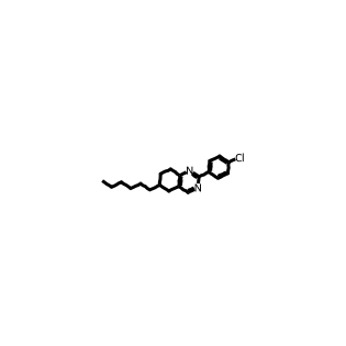 CCCCCCC1CCc2nc(-c3ccc(Cl)cc3)ncc2C1